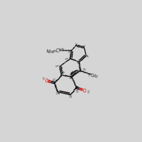 COc1cccc2c(OC(C)=O)c3c(cc12)C(=O)C=CC3=O